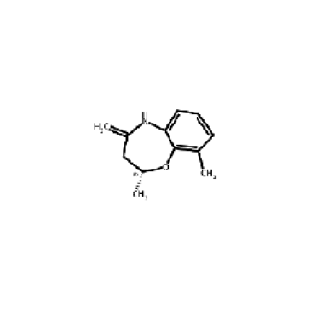 C=C1C[C@@H](C)Oc2c(C)cccc2N1